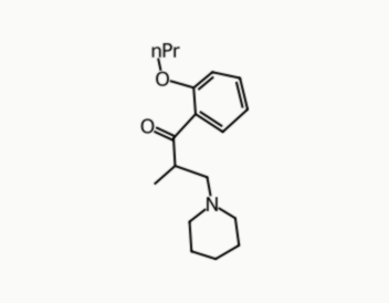 CCCOc1ccccc1C(=O)C(C)CN1CCCCC1